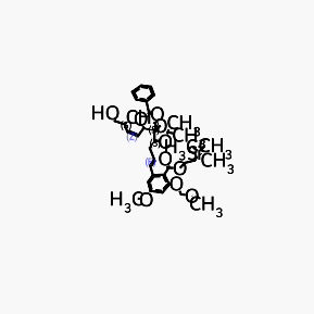 COCOc1cc(OC)cc(/C=C/C[C@@H]2OC(C)(C)O[C@@H]2C(/C=C\[C@H](C)CO)OC(=O)c2ccccc2)c1C(=O)OCC[Si](C)(C)C